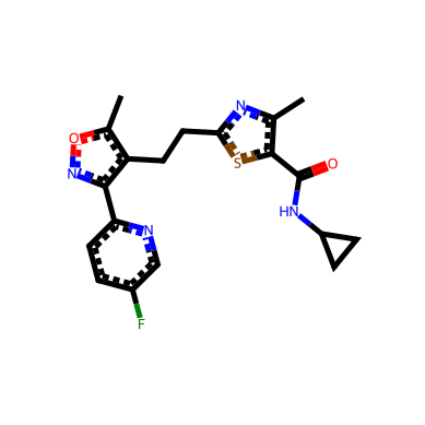 Cc1nc(CCc2c(-c3ccc(F)cn3)noc2C)sc1C(=O)NC1CC1